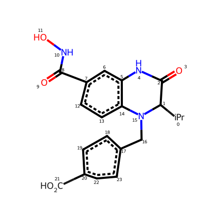 CC(C)C1C(=O)Nc2cc(C(=O)NO)ccc2N1Cc1ccc(C(=O)O)cc1